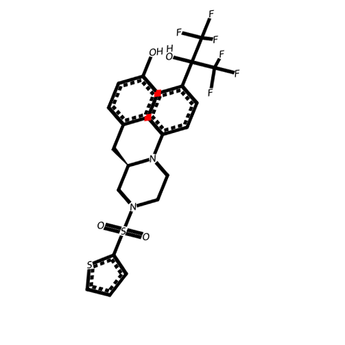 O=S(=O)(c1cccs1)N1CCN(c2ccc(C(O)(C(F)(F)F)C(F)(F)F)cc2)[C@H](Cc2ccc(O)cc2)C1